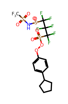 O=S(=O)(NS(=O)(=O)C(F)(F)C(F)(F)C(F)(F)S(=O)(=O)OOc1ccc(C2CCCC2)cc1)C(F)(F)F